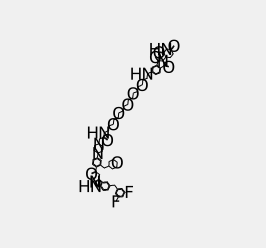 O=C(CN1CCN(c2ccc(C(=O)Cc3n[nH]c4ccc(Cc5cc(F)cc(F)c5)cc34)c(CC3CCOCC3)c2)CC1)NCCOCCOCCOCCOCCOCCNc1ccc2c(c1)C(=O)N(C1CCC(=O)NC1=O)C2=O